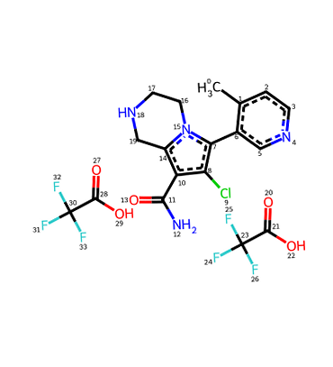 Cc1ccncc1-c1c(Cl)c(C(N)=O)c2n1CCNC2.O=C(O)C(F)(F)F.O=C(O)C(F)(F)F